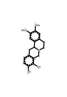 COc1cc2c(cc1OC)C1Cc3ccc(O)c(O)c3CN1CC2